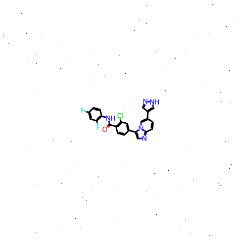 O=C(Nc1ccc(F)cc1F)c1ccc(-c2cnc3ccc(-c4cn[nH]c4)cn23)cc1Cl